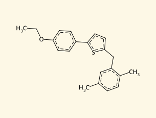 CCOc1ccc(-c2ccc(Cc3cc(C)ccc3C)s2)cc1